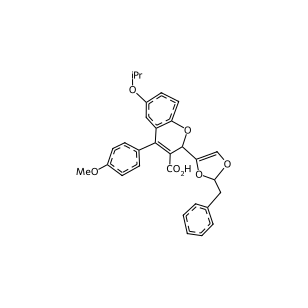 COc1ccc(C2=C(C(=O)O)C(C3=COC(Cc4ccccc4)O3)Oc3ccc(OC(C)C)cc32)cc1